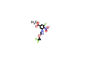 COC(=O)c1cc(F)c([N+](=O)[O-])c(NCCOC2CC2(F)F)c1